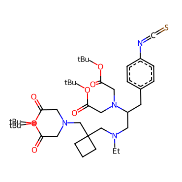 CCN(CC(Cc1ccc(N=C=S)cc1)N(CC(=O)OC(C)(C)C)CC(=O)OC(C)(C)C)CC1(CN(CC(=O)OC(C)(C)C)CC(=O)OC(C)(C)C)CCC1